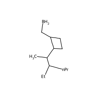 BCC1CCC1C(C)C(CC)CCC